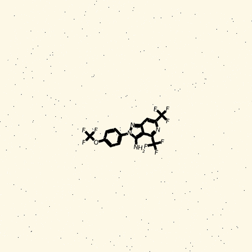 Nc1c2c(C(F)(F)F)nc(C(F)(F)F)cc2nn1-c1ccc(OC(F)(F)F)cc1